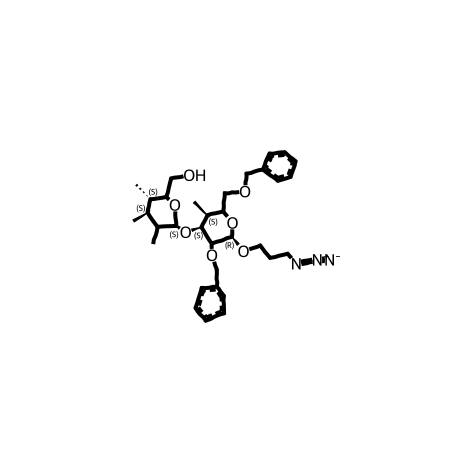 CC1[C@H](O[C@@H]2C(OCc3ccccc3)[C@H](OCCCN=[N+]=[N-])OC(COCc3ccccc3)[C@@H]2C)OC(CO)[C@@H](C)[C@@H]1C